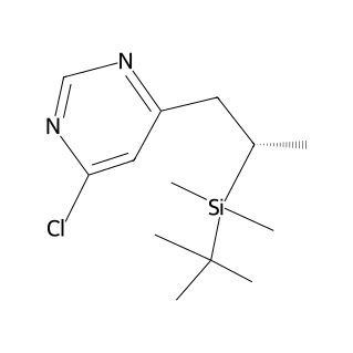 C[C@@H](Cc1cc(Cl)ncn1)[Si](C)(C)C(C)(C)C